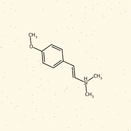 COc1ccc(C=C[SiH](C)C)cc1